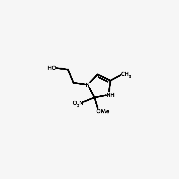 COC1([N+](=O)[O-])NC(C)=CN1CCO